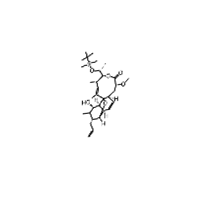 C=CC[C@@H]1C(C)[C@@H](O)[C@@H]2[C@H]3C=C[C@@H]4C[C@H](OC)C(=O)O[C@H]([C@@H](C)O[Si](C)(C)C(C)(C)C)[C@H](C)/C=C(\C)[C@@]24O[C@H]31